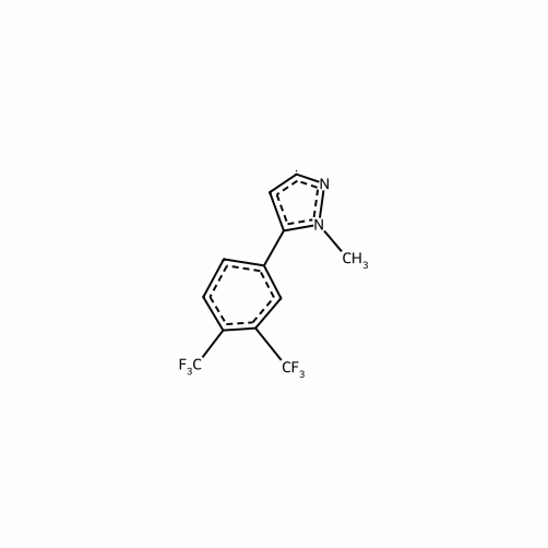 Cn1n[c]cc1-c1ccc(C(F)(F)F)c(C(F)(F)F)c1